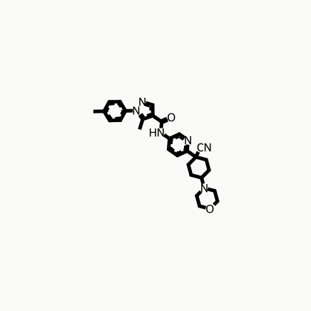 Cc1ccc(-n2ncc(C(=O)Nc3ccc(C4(C#N)CCC(N5CCOCC5)CC4)nc3)c2C)cc1